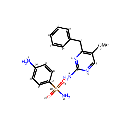 COc1cnc(N)nc1Cc1ccccc1.Nc1ccc(S(N)(=O)=O)cc1